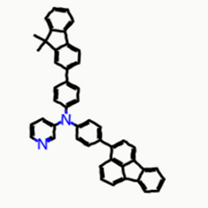 CC1(C)c2ccccc2-c2ccc(-c3ccc(N(c4ccc(-c5ccc6c7c(cccc57)-c5ccccc5-6)cc4)c4cccnc4)cc3)cc21